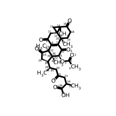 CC(=O)O[C@@H]1C(=O)C2=C(C(=O)C[C@@]34CC3(C)C(=O)CC[C@]24C)[C@]2(C)C(=O)C[C@H]([C@H](C)CC(=O)CC(C)C(=O)O)[C@@]12C